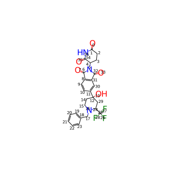 O=C1CCC(N2C(=O)c3ccc(C4(O)CCN(Cc5ccccc5)C(C(F)(F)F)C4)cc3C2=O)C(=O)N1